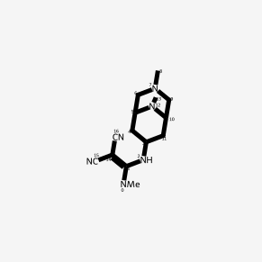 CNC(NC1CC2CN(C)CC(C1)N2C)=C(C#N)C#N